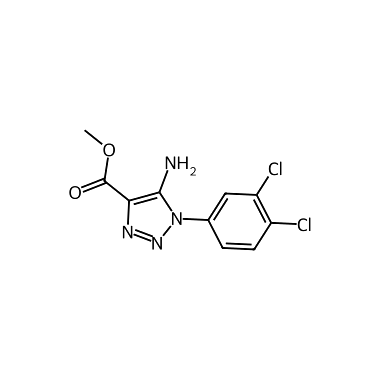 COC(=O)c1nnn(-c2ccc(Cl)c(Cl)c2)c1N